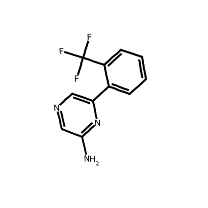 Nc1cncc(-c2ccccc2C(F)(F)F)n1